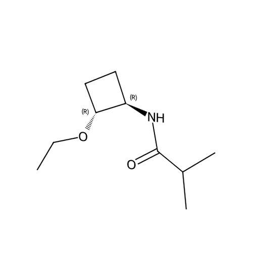 CCO[C@@H]1CC[C@H]1NC(=O)C(C)C